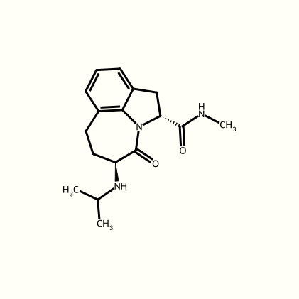 CNC(=O)[C@H]1Cc2cccc3c2N1C(=O)[C@@H](NC(C)C)CC3